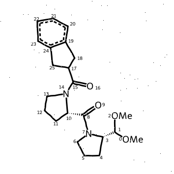 COC(OC)[C@@H]1CCCN1C(=O)[C@@H]1CCCN1C(=O)C1Cc2ccccc2C1